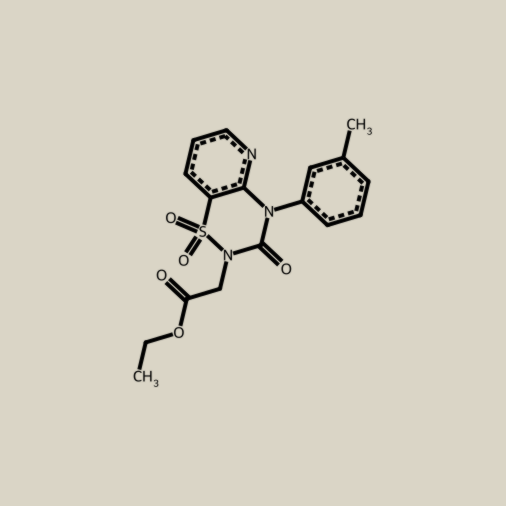 CCOC(=O)CN1C(=O)N(c2cccc(C)c2)c2ncccc2S1(=O)=O